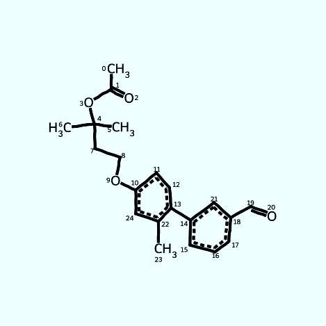 CC(=O)OC(C)(C)CCOc1ccc(-c2cccc(C=O)c2)c(C)c1